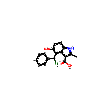 Cc1[nH]c2ccc(O)c(C(Cl)c3ccccc3)c2c1C(=O)O